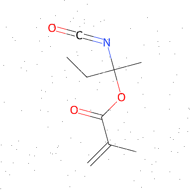 C=C(C)C(=O)OC(C)(CC)N=C=O